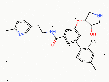 Cc1ccc(-c2cc(O[C@@H]3CNCC3O)cc(C(=O)NCCc3ccc(C)nc3)c2)c(C#N)c1